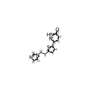 O=c1ccc(-c2ccc(CCn3ccnc3)s2)n[nH]1